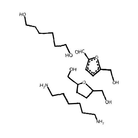 NCCCCCCN.O=Cc1ccc(CO)o1.OCC1CCC(CO)O1.OCCCCCCO